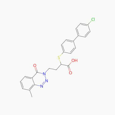 Cc1cccc2c(=O)n(CCC(Sc3ccc(-c4ccc(Cl)cc4)cc3)C(=O)O)nnc12